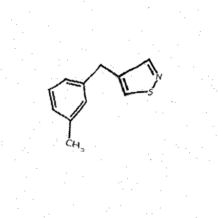 Cc1cccc(Cc2cnsc2)c1